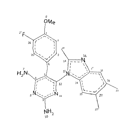 COc1ccc(-c2c(N)nc(N)nc2-n2c(C)nc3cc(C)c(C)cc32)cc1F